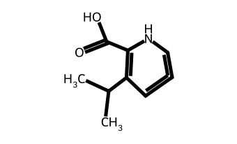 CC(C)C1=C(C(=O)O)NC=C=C1